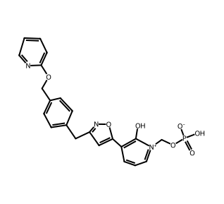 O=P([O-])(O)OC[n+]1cccc(-c2cc(Cc3ccc(COc4ccccn4)cc3)no2)c1O